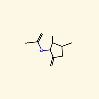 C=C(NC1C(=C)CC(C)C1C)C(C)C